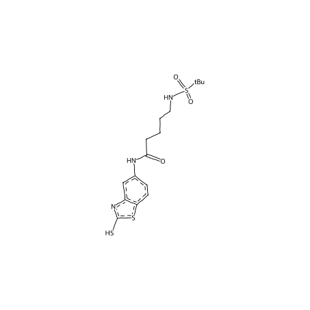 CC(C)(C)S(=O)(=O)NCCCCC(=O)Nc1ccc2sc(S)nc2c1